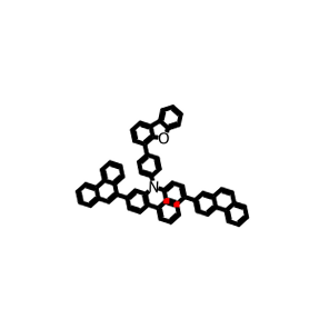 c1ccc(-c2ccc(-c3cc4ccccc4c4ccccc34)cc2N(c2ccc(-c3ccc4c(ccc5ccccc54)c3)cc2)c2ccc(-c3cccc4c3oc3ccccc34)cc2)cc1